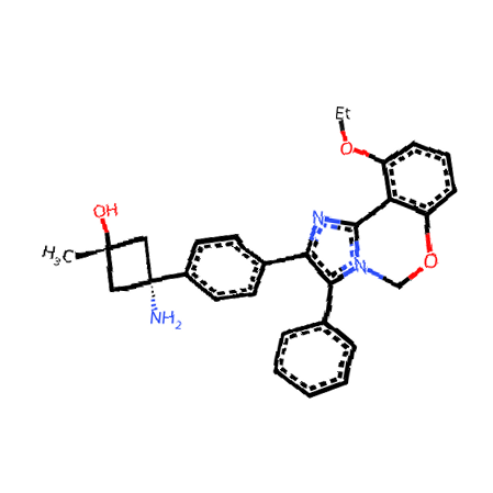 CCOc1cccc2c1-c1nc(-c3ccc([C@]4(N)C[C@@](C)(O)C4)cc3)c(-c3ccccc3)n1CO2